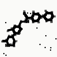 C=C1C=C(c2ncc(CNC(=O)c3ccc(-c4cnccn4)cn3)cc2C)C=CN1